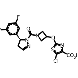 O=C(O)c1nc(OC2CN(C(=O)N3N=CC[C@H]3c3cc(F)cc(F)c3)C2)sc1Cl